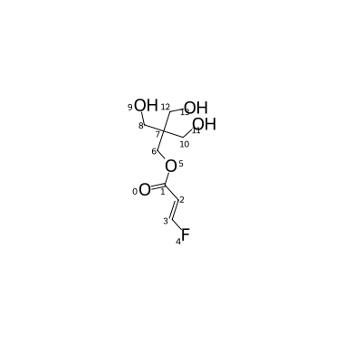 O=C(C=CF)OCC(CO)(CO)CO